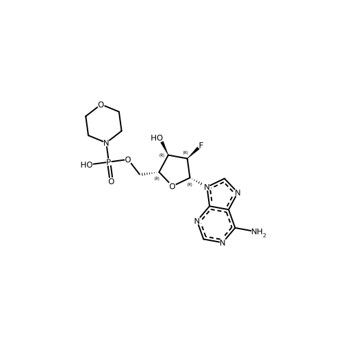 Nc1ncnc2c1ncn2[C@@H]1O[C@H](COP(=O)(O)N2CCOCC2)[C@@H](O)[C@H]1F